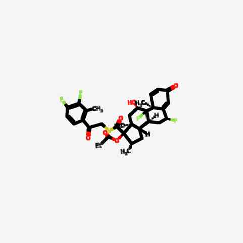 CCC(=O)O[C@]1(C(=O)SCC(=O)c2ccc(F)c(F)c2C)[C@H](C)C[C@H]2[C@@H]3C[C@H](F)C4=CC(=O)C=C[C@]4(C)[C@@]3(F)[C@@H](O)C[C@@]21C